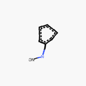 O=N[N]c1ccccc1